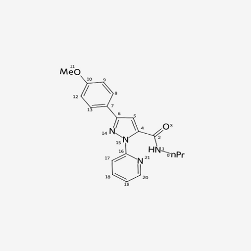 CCCNC(=O)c1cc(-c2ccc(OC)cc2)nn1-c1ccccn1